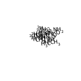 [2H]C([2H])([2H])C(C)(C)NC(=O)N[C@H](C(=O)N1C[C@H]2[C@@H]([C@H]1C(=O)NC(CC1CCC1)C(=O)C(N)=O)C2(C)C)C(C)(C)C([2H])([2H])[2H]